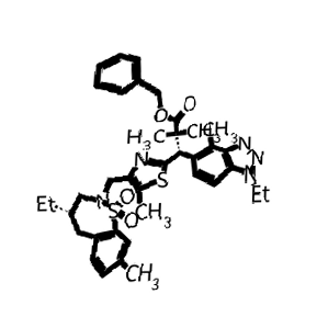 CC[C@H]1Cc2ccc(C)cc2S(=O)(=O)N(Cc2nc([C@@H](c3ccc4c(nnn4CC)c3C)C(C)(C)C(=O)OCc3ccccc3)sc2C)C1